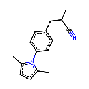 Cc1ccc(C)n1-c1ccc(CC(C)C#N)cc1